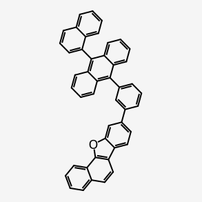 c1cc(-c2ccc3c(c2)oc2c4ccccc4ccc32)cc(-c2c3ccccc3c(-c3cccc4ccccc34)c3ccccc23)c1